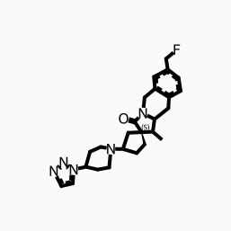 CC1C2Cc3ccc(CF)cc3CN2C(=O)[C@]12CCC(N1CCC(n3ccnn3)CC1)C2